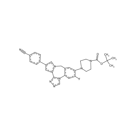 CC(C)(C)OC(=O)N1CCN(c2cc3c(cc2F)-n2cnnc2-c2cc(-c4ccc(C#N)cc4)cn2C3)CC1